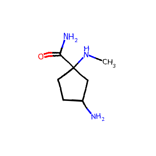 CNC1(C(N)=O)CCC(N)C1